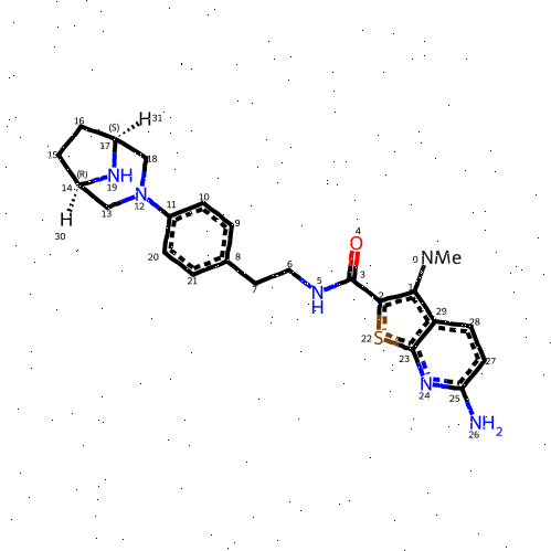 CNc1c(C(=O)NCCc2ccc(N3C[C@H]4CC[C@@H](C3)N4)cc2)sc2nc(N)ccc12